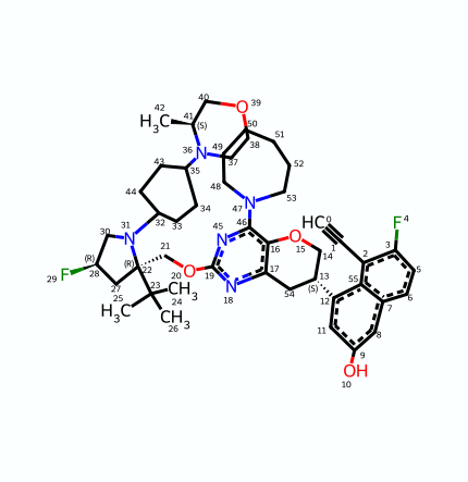 C#Cc1c(F)ccc2cc(O)cc([C@H]3COc4c(nc(OC[C@]5(C(C)(C)C)C[C@@H](F)CN5C5CCC(N6CCOC[C@@H]6C)CC5)nc4N4CCCCCC4)C3)c12